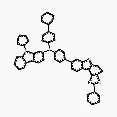 c1ccc(-c2ccc(N(c3ccc(-c4ccc5c(c4)oc4ccc6oc(-c7ccccc7)nc6c45)cc3)c3ccc4c5ccccc5n(-c5ccccc5)c4c3)cc2)cc1